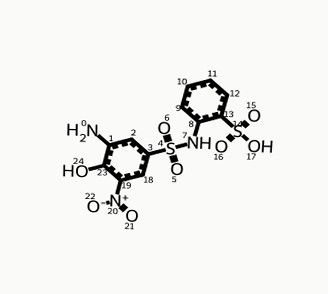 Nc1cc(S(=O)(=O)Nc2ccccc2S(=O)(=O)O)cc([N+](=O)[O-])c1O